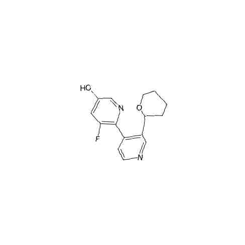 Oc1cnc(-c2ccncc2C2CCCCO2)c(F)c1